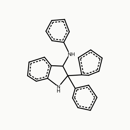 c1ccc(NC2c3ccccc3NC2(c2ccccc2)c2ccccc2)cc1